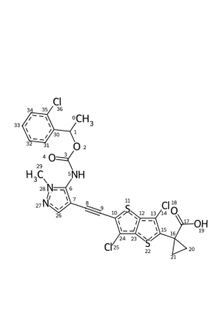 CC(OC(=O)Nc1c(C#Cc2sc3c(Cl)c(C4(C(=O)O)CC4)sc3c2Cl)cnn1C)c1ccccc1Cl